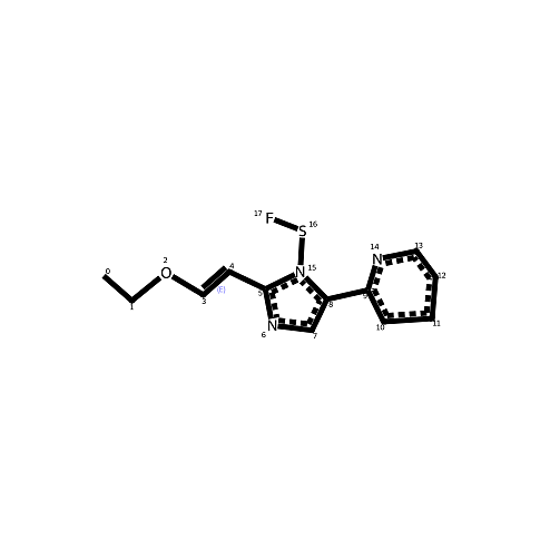 CCO/C=C/c1ncc(-c2ccccn2)n1SF